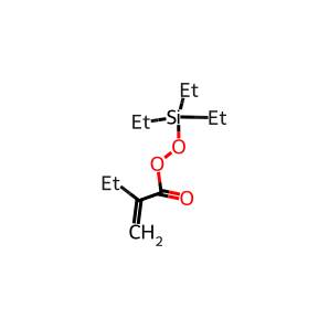 C=C(CC)C(=O)OO[Si](CC)(CC)CC